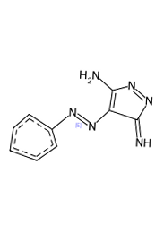 N=C1N=NC(N)=C1/N=N/c1ccccc1